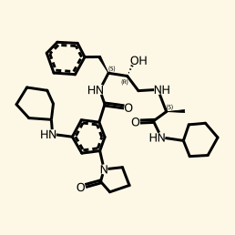 C[C@H](NC[C@@H](O)[C@H](Cc1ccccc1)NC(=O)c1cc(NC2CCCCC2)cc(N2CCCC2=O)c1)C(=O)NC1CCCCC1